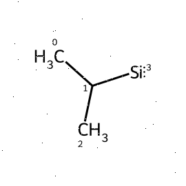 CC(C)[Si]